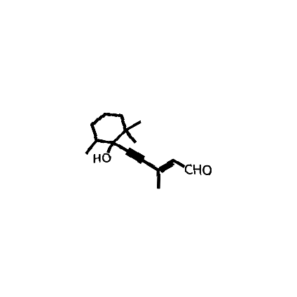 CC(C#CC1(O)C(C)CCCC1(C)C)=CC=O